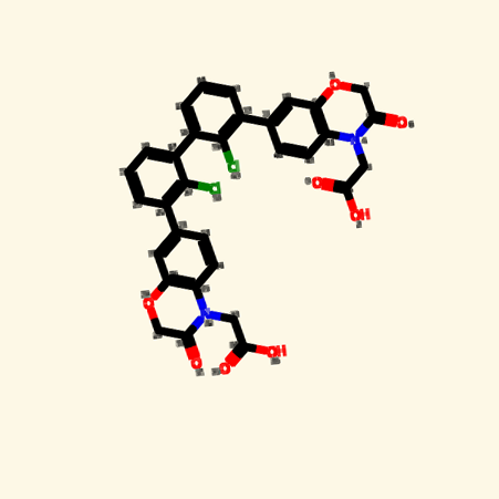 O=C(O)CN1C(=O)COc2cc(-c3cccc(-c4cccc(-c5ccc6c(c5)OCC(=O)N6CC(=O)O)c4Cl)c3Cl)ccc21